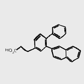 O=C(O)CCc1ccc(-c2ccccc2)c(-c2ccc3ccccc3c2)c1